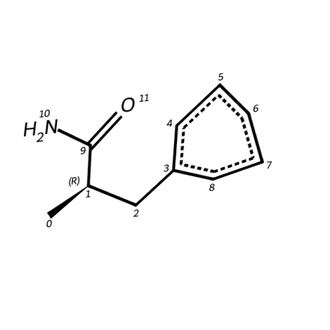 C[C@H](Cc1ccccc1)C(N)=O